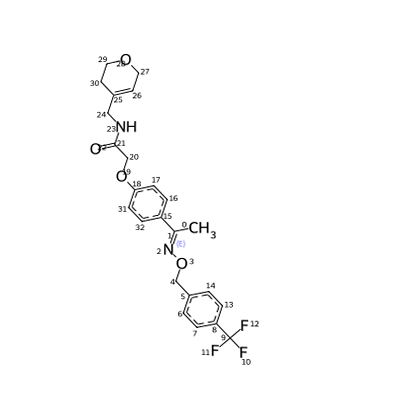 C/C(=N\OCc1ccc(C(F)(F)F)cc1)c1ccc(OCC(=O)NCC2=CCOCC2)cc1